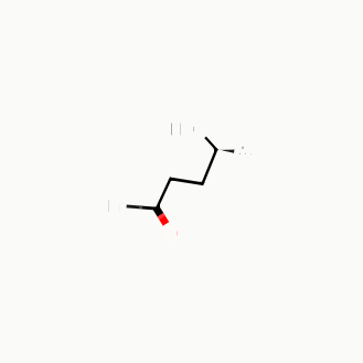 CC(=O)[C@H](C)CCC(=O)C(C)C